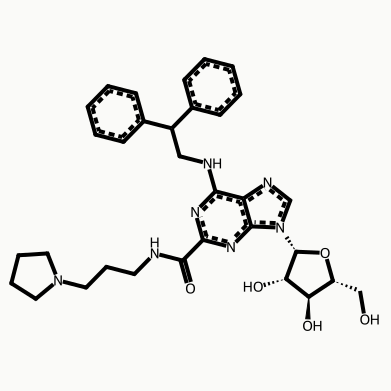 O=C(NCCCN1CCCC1)c1nc(NCC(c2ccccc2)c2ccccc2)c2ncn([C@@H]3O[C@H](CO)[C@@H](O)[C@@H]3O)c2n1